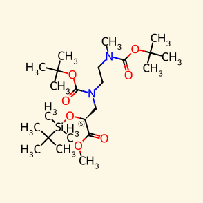 COC(=O)[C@H](CN(CCN(C)C(=O)OC(C)(C)C)C(=O)OC(C)(C)C)O[Si](C)(C)C(C)(C)C